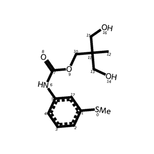 CSc1cccc(NC(=O)OCC(C)(CO)CO)c1